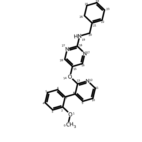 COc1ccccc1-c1cccnc1Oc1cnc(NCC2=CC=CCC2)nc1